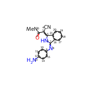 CNC(=O)/C(C#N)=C1\N/C(=N\c2ccc(N)cc2)c2ccccc21